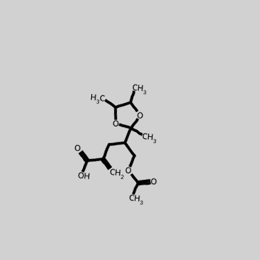 C=C(CC(COC(C)=O)C1(C)OC(C)C(C)O1)C(=O)O